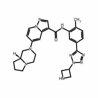 Cc1ccc(-c2nnn(C3CNC3)n2)cc1NC(=O)c1cnn2ccc(N3CCN4CCC[C@@H]4C3)cc12